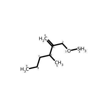 C=C(CO[SiH3])C(C)CCC